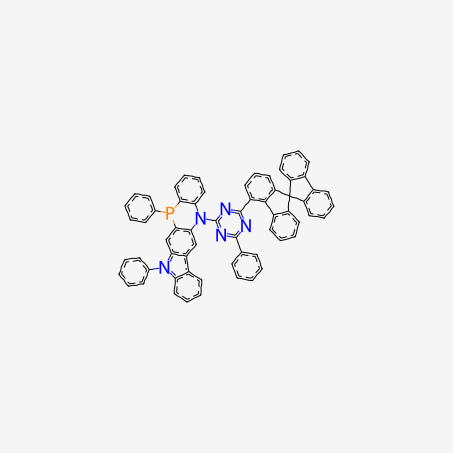 c1ccc(-c2nc(-c3cccc4c3-c3ccccc3C43c4ccccc4-c4ccccc43)nc(N3c4ccccc4P(c4ccccc4)c4cc5c(cc43)c3ccccc3n5-c3ccccc3)n2)cc1